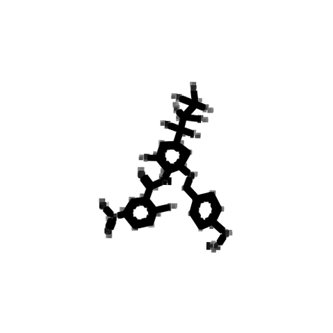 COc1ccc(COc2cc(C(F)(F)C(F)(F)C(F)(F)F)cc(F)c2NC(=O)c2cc([N+](=O)[O-])ccc2I)cc1